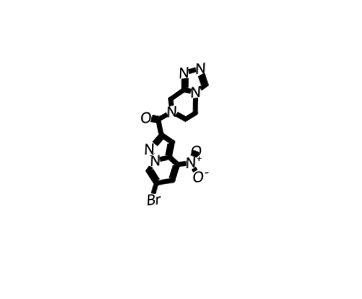 O=C(c1cc2c([N+](=O)[O-])cc(Br)cn2n1)N1CCn2cnnc2C1